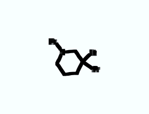 CCC1(C(C)C)CCCN(C(C)C)C1